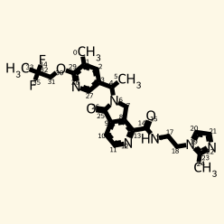 Cc1cc(C(C)N2Cc3c(ccnc3C(=O)NCCn3ccnc3C)C2=O)cnc1OCC(C)(F)F